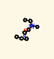 C1=CC2c3ccccc3N(c3ccc4oc5cc(-c6nc(-c7ccccc7)nc(-c7cccc(-c8ccccc8)c7)n6)ccc5c4c3)C2C=C1c1ccccc1